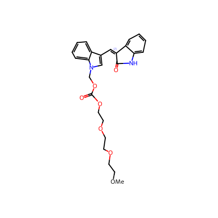 COCCOCCOCCOC(=O)OCn1cc(/C=C2\C(=O)Nc3ccccc32)c2ccccc21